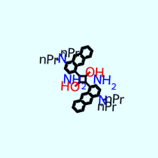 CCCN(CCC)c1cc(N)c(C2C(O)C(c3c(N)cc(N(CCC)CCC)c4cc5ccccc5cc34)C2O)c2cc3ccccc3cc12